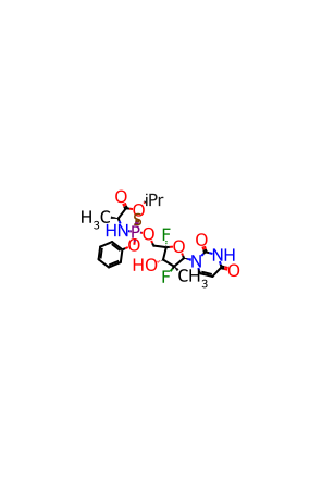 CC(C)OC(=O)[C@H](C)NP(=S)(OC[C@@]1(F)O[C@@H](n2ccc(=O)[nH]c2=O)[C@](C)(F)[C@@H]1O)Oc1ccccc1